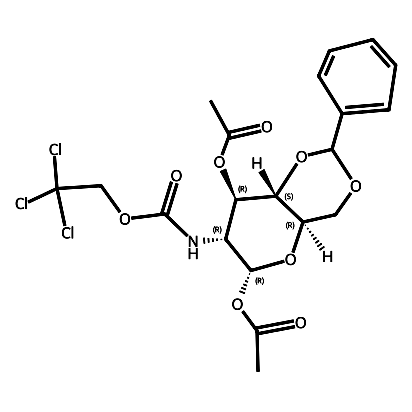 CC(=O)O[C@H]1O[C@@H]2COC(c3ccccc3)O[C@H]2[C@H](OC(C)=O)[C@H]1NC(=O)OCC(Cl)(Cl)Cl